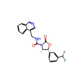 C[C@H]1[C@@H](c2cccc(C(F)F)c2)OC(=O)N1C(=O)NCc1cncc2ccccc12